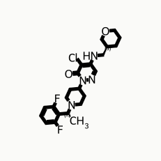 C[C@H](c1c(F)cccc1F)N1CCC(n2ncc(NC[C@@H]3CCCOC3)c(Cl)c2=O)CC1